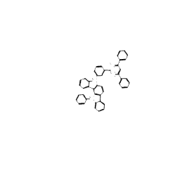 c1ccc(-c2cc(-c3ccccc3)nc(-c3cccc(-n4c5ccccc5c5c4ccc4c6ccccc6n(-c6ccccc6)c45)c3)n2)cc1